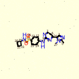 Cc1ncc(-c2ccnc(Nc3ccc(S(=O)(=O)NC4CCC4)cc3)n2)n1C